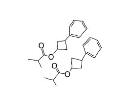 CC(C)C(=O)OC1CC(c2ccccc2)C1.CC(C)C(=O)OC1CC(c2ccccc2)C1